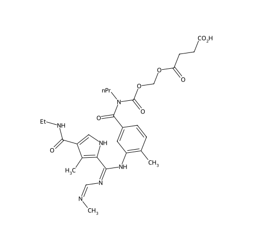 CCCN(C(=O)OCOC(=O)CCC(=O)O)C(=O)c1ccc(C)c(N/C(=N/C=N\C)c2[nH]cc(C(=O)NCC)c2C)c1